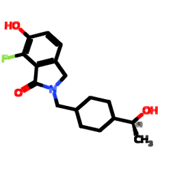 C[C@H](O)C1CCC(CN2Cc3ccc(O)c(F)c3C2=O)CC1